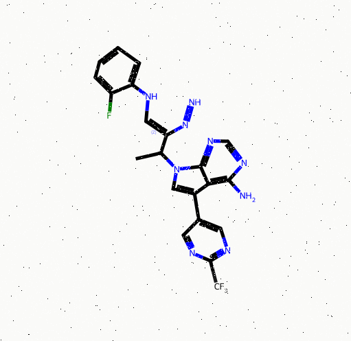 CC(/C(=C/Nc1ccccc1F)N=N)n1cc(-c2cnc(C(F)(F)F)nc2)c2c(N)ncnc21